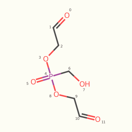 O=CCOP(=O)(CO)OCC=O